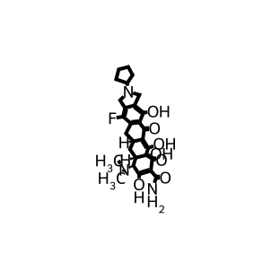 CN(C)[C@@H]1C(O)=C(C(N)=O)C(=O)[C@@]2(O)C(O)=C3C(=O)c4c(O)c5c(c(F)c4C[C@H]3C[C@@H]12)CN(C1CCCC1)C5